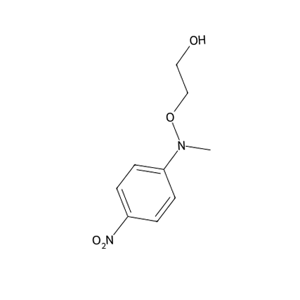 CN(OCCO)c1ccc([N+](=O)[O-])cc1